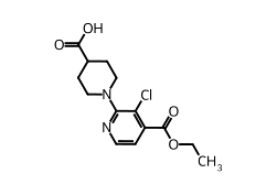 CCOC(=O)c1ccnc(N2CCC(C(=O)O)CC2)c1Cl